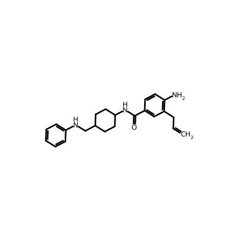 C=CCc1cc(C(=O)NC2CCC(CNc3ccccc3)CC2)ccc1N